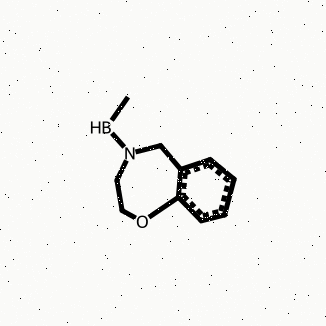 CBN1CCOc2ccccc2C1